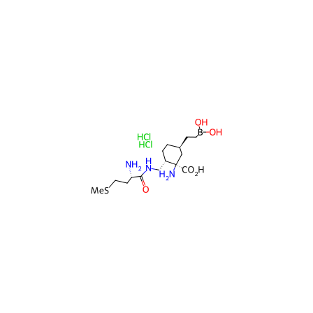 CSCC[C@H](N)C(=O)NC[C@@H]1CC[C@@H](CCB(O)O)C[C@]1(N)C(=O)O.Cl.Cl